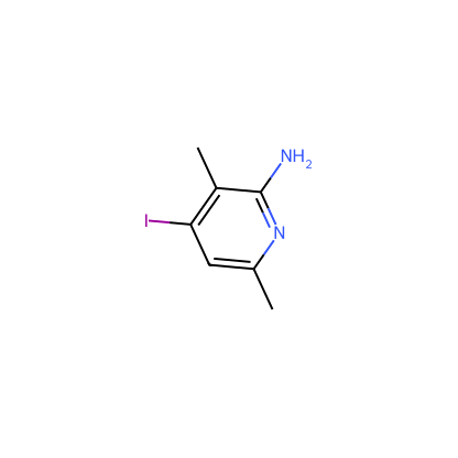 Cc1cc(I)c(C)c(N)n1